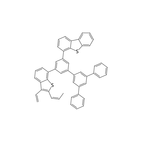 C=Cc1c(/C=C\C)sc2c(-c3cc(-c4cc(-c5ccccc5)cc(-c5ccccc5)c4)cc(-c4cccc5c4sc4ccccc45)c3)cccc12